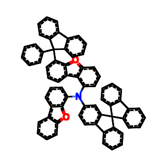 c1ccc(C2(c3cccc4c3oc3cccc(N(c5ccc6c(c5)C5(c7ccccc7-c7ccccc75)c5ccccc5-6)c5cccc6c5oc5ccccc56)c34)c3ccccc3-c3ccccc32)cc1